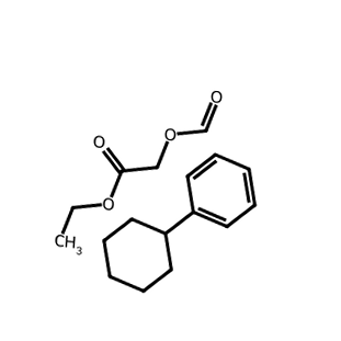 CCOC(=O)COC=O.c1ccc(C2CCCCC2)cc1